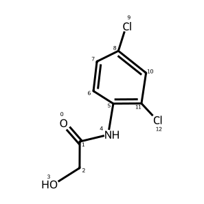 O=C(CO)Nc1ccc(Cl)cc1Cl